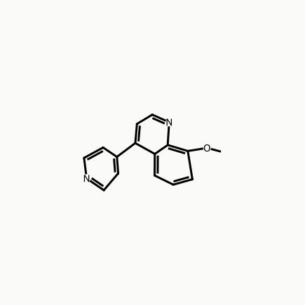 COc1cccc2c(-c3ccncc3)ccnc12